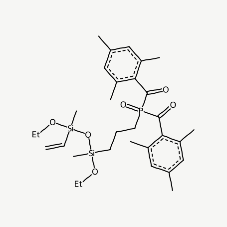 C=C[Si](C)(OCC)O[Si](C)(CCCP(=O)(C(=O)c1c(C)cc(C)cc1C)C(=O)c1c(C)cc(C)cc1C)OCC